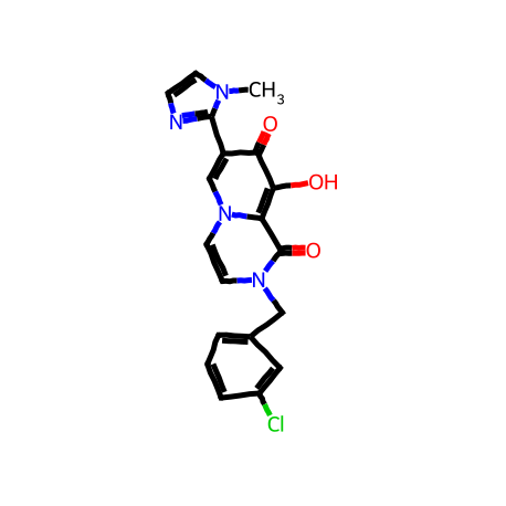 Cn1ccnc1-c1cn2ccn(Cc3cccc(Cl)c3)c(=O)c2c(O)c1=O